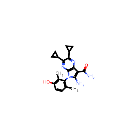 Cc1ccc(O)c(C)c1-n1c(N)c(C(N)=O)c2nc(C3CC3)c(C3CC3)nc21